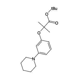 CC(C)(C)OC(=O)C(C)(C)Oc1cccc(N2CCCCC2)c1